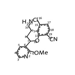 COc1ncccc1C(CCCN)Oc1cc(Cl)ccc1C#N